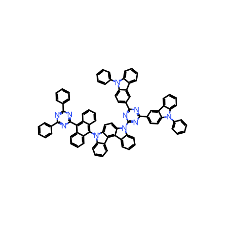 c1ccc(-c2nc(-c3ccccc3)nc(-c3c4ccccc4c(-n4c5ccccc5c5c6c7ccccc7n(-c7nc(-c8ccc9c(c8)c8ccccc8n9-c8ccccc8)nc(-c8ccc9c(c8)c8ccccc8n9-c8ccccc8)n7)c6ccc54)c4ccccc34)n2)cc1